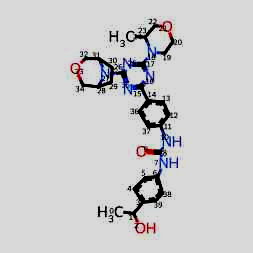 CC(O)c1ccc(NC(=O)Nc2ccc(-c3nc(N4CCOCC4C)nc(N4C5CCC4COC5)n3)cc2)cc1